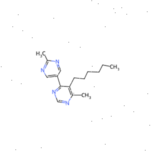 CCCCCCc1c(C)ncnc1-c1cnc(C)nc1